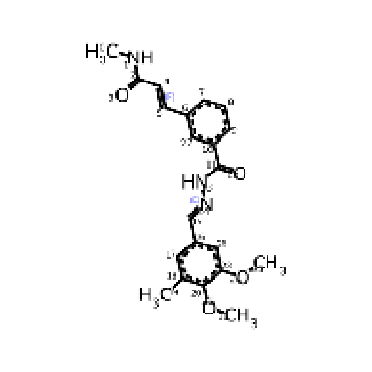 CNC(=O)/C=C/c1cccc(C(=O)N/N=C/c2cc(C)c(OC)c(OC)c2)c1